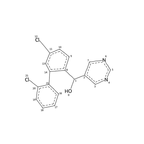 OC(c1cncnc1)c1ccc(Cl)cc1-c1ccccc1Cl